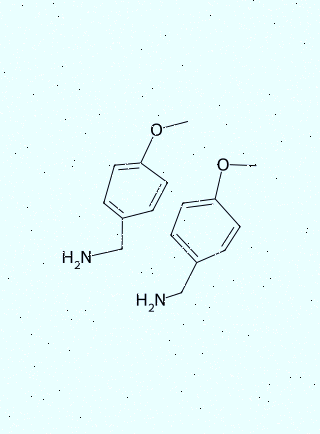 COc1ccc(CN)cc1.COc1ccc(CN)cc1